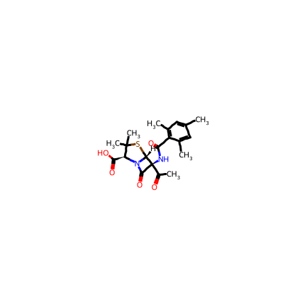 CC(=O)[C@]1(NC(=O)c2c(C)cc(C)cc2C)C(=O)N2[C@@H](C(=O)O)C(C)(C)S[C@@H]21